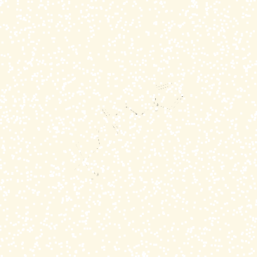 [CH2]C(C)(CNS(=O)(=O)CCn1ccnc1)OC